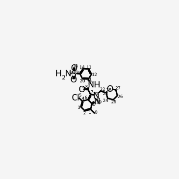 Cc1ccc(Cl)c2c(C(=O)Nc3cccc(S(N)(=O)=O)c3)n(CC3CCCCO3)nc12